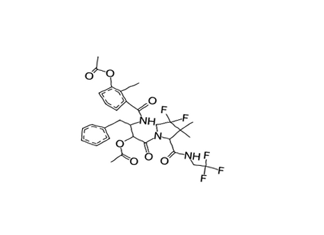 CC(=O)Oc1cccc(C(=O)NC(Cc2ccccc2)C(OC(C)=O)C(=O)N2CC(F)(F)C(C)(C)C2C(=O)NCC(F)(F)F)c1C